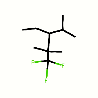 CCC(C(C)C)C(C)(C)C(F)(F)F